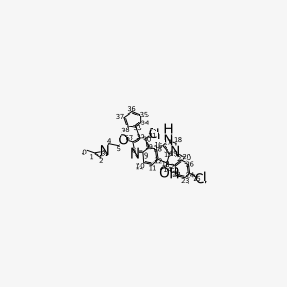 CC1CN1CCOc1nc2ccc(C(O)(C3=CNCN3C)c3ccc(Cl)cc3)cc2c(Cl)c1-c1ccccc1